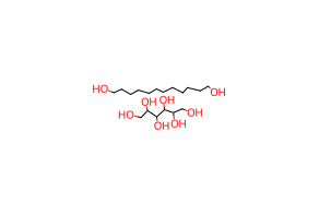 OCC(O)C(O)C(O)C(O)CO.OCCCCCCCCCCCCO